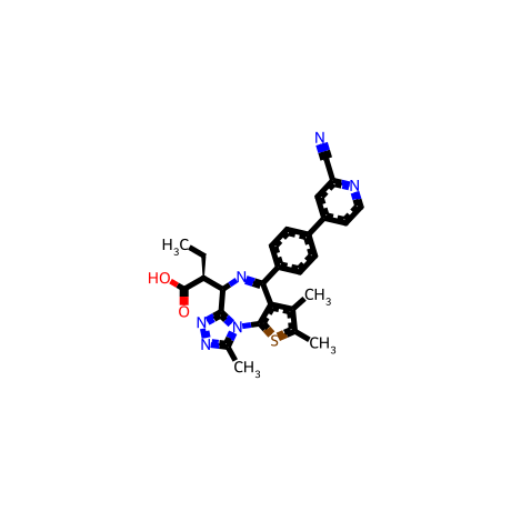 CC[C@H](C(=O)O)C1N=C(c2ccc(-c3ccnc(C#N)c3)cc2)c2c(sc(C)c2C)-n2c(C)nnc21